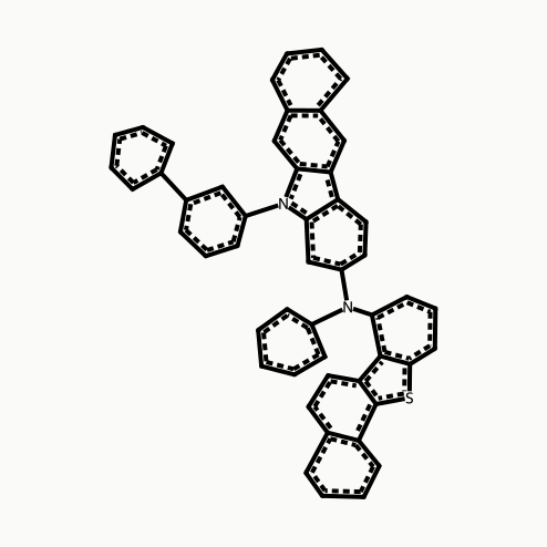 c1ccc(-c2cccc(-n3c4cc(N(c5ccccc5)c5cccc6sc7c8ccccc8ccc7c56)ccc4c4cc5ccccc5cc43)c2)cc1